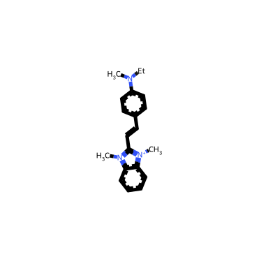 [CH2]CN(C)c1ccc(C=Cc2n(C)c3ccccc3[n+]2C)cc1